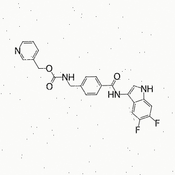 O=C(NCc1ccc(C(=O)Nc2c[nH]c3cc(F)c(F)cc23)cc1)OCc1cccnc1